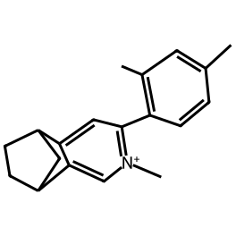 Cc1ccc(-c2cc3c(c[n+]2C)C2CCC3C2)c(C)c1